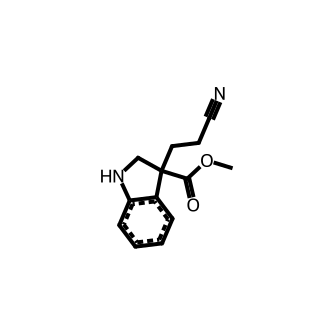 COC(=O)C1(CCC#N)CNc2ccccc21